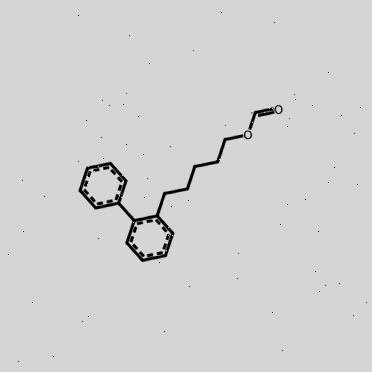 O=[C]OCCCCCc1ccccc1-c1ccccc1